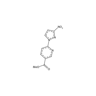 COC(=O)c1ccc(-n2ccc([N+](=O)[O-])n2)nc1